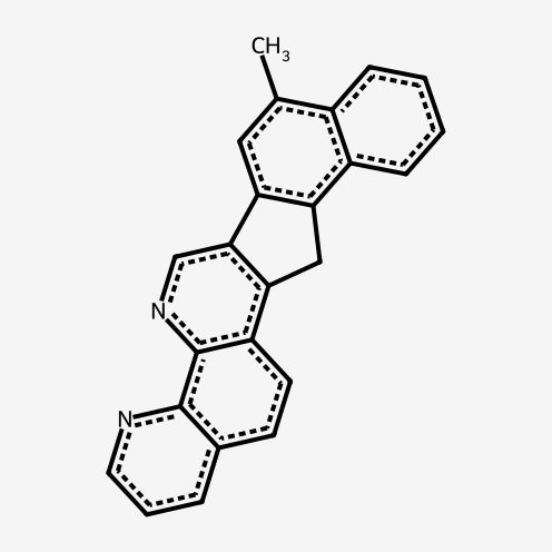 Cc1cc2c(c3ccccc13)Cc1c-2cnc2c1ccc1cccnc12